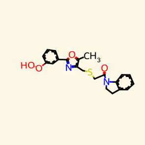 Cc1oc(-c2cccc(OO)c2)nc1CSCC(=O)N1CCc2ccccc21